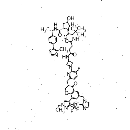 CCn1cc(-c2cc(Cn3ccnc3C)cc3c2OC[C@@H](Cc2ccc(F)c(N4CC(NC(=O)CCC(=O)N[C@H](C(=O)N5C[C@H](O)C[C@H]5C(=O)N[C@@H](C)c5ccc(-c6scnc6C)cc5)C(C)(C)C)C4)n2)C3=O)c(C(F)(F)F)n1